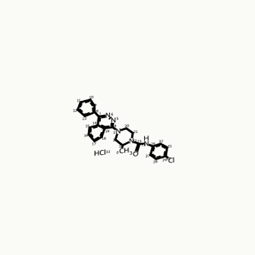 CC1CN(c2nnc(-c3ccccc3)c3ccccc23)CCN1C(=O)Nc1ccc(Cl)cc1.Cl